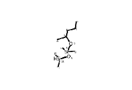 CCCC(C)O[Si](C)(C)O[SiH](C)C